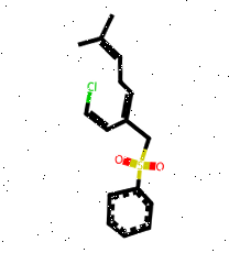 CC(C)=CC/C=C(\C=C/Cl)CS(=O)(=O)c1ccccc1